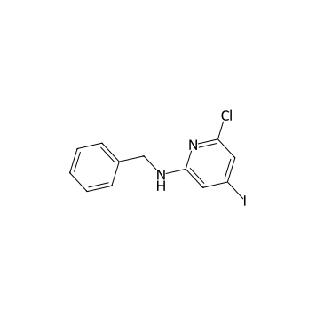 Clc1cc(I)cc(NCc2ccccc2)n1